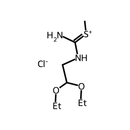 CCOC(CN/C(N)=[S+]/C)OCC.[Cl-]